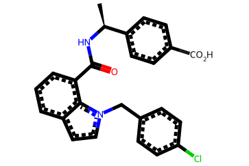 C[C@H](NC(=O)c1cccc2ccn(Cc3ccc(Cl)cc3)c12)c1ccc(C(=O)O)cc1